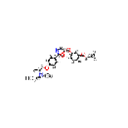 C[C@@H](COc1ccc(-c2ncc(Oc3cccc(OCC4CC4)c3)o2)cc1)N(C(=O)O)C(C)(C)C